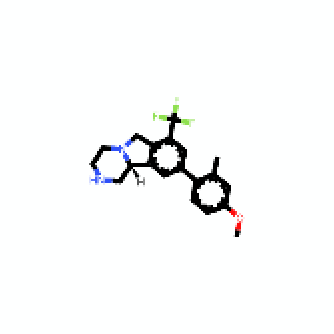 COc1ccc(-c2cc3c(c(C(F)(F)F)c2)CN2CCNC[C@@H]32)c(C)c1